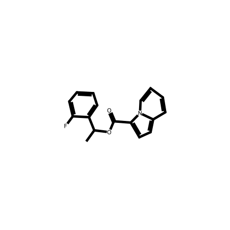 CC(OC(=O)c1ccc2ccccn12)c1ccccc1F